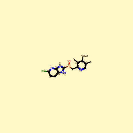 COc1c(C)cnc(C[S+]([O-])c2nc3nc(Br)ccc3[nH]2)c1C